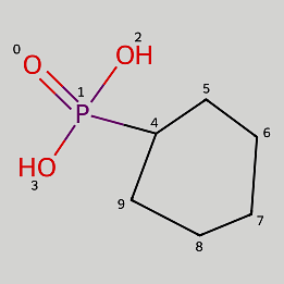 O=P(O)(O)C1CCCCC1